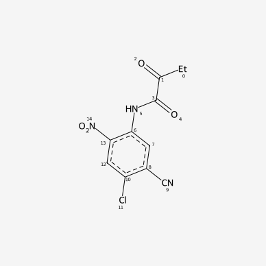 CCC(=O)C(=O)Nc1cc(C#N)c(Cl)cc1[N+](=O)[O-]